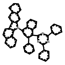 c1ccc(-c2nc(-c3ccccc3)nc(-c3c(-c4ccccc4)cc(-n4c5cc6ccccc6cc5c5ccc6ccccc6c54)c4ccccc34)n2)cc1